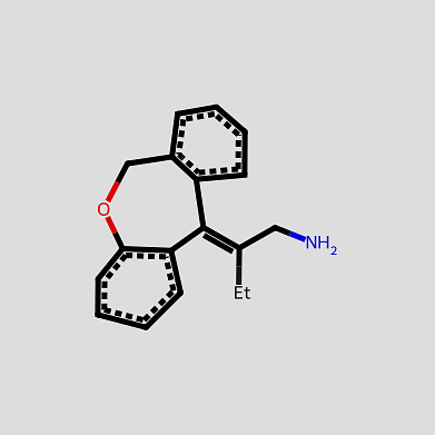 CCC(CN)=C1c2ccccc2COc2ccccc21